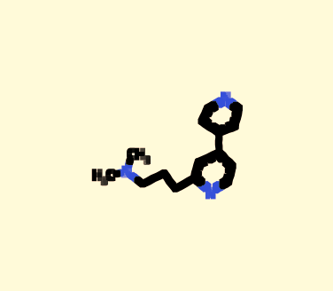 CN(C)CCCc1cc(-c2ccncc2)ccn1